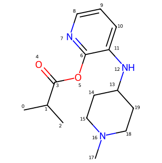 CC(C)C(=O)Oc1ncccc1NC1CCN(C)CC1